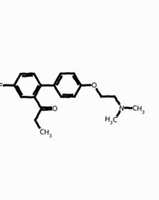 CCC(=O)c1cc(F)ccc1-c1ccc(OCCN(C)C)cc1